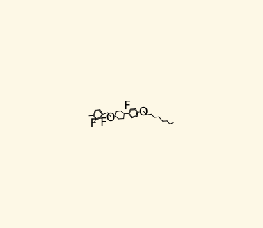 CCCCCCCCOc1ccc(C2CCC(OCc3ccc(C)c(F)c3F)CC2)c(F)c1